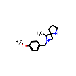 COc1ccc(CN2CC3(CCCN3)C2C)cc1